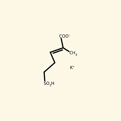 CC(=CCCS(=O)(=O)O)C(=O)[O-].[K+]